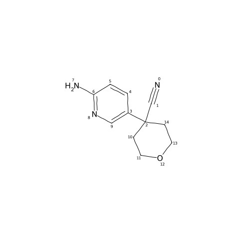 N#CC1(c2ccc(N)nc2)CCOCC1